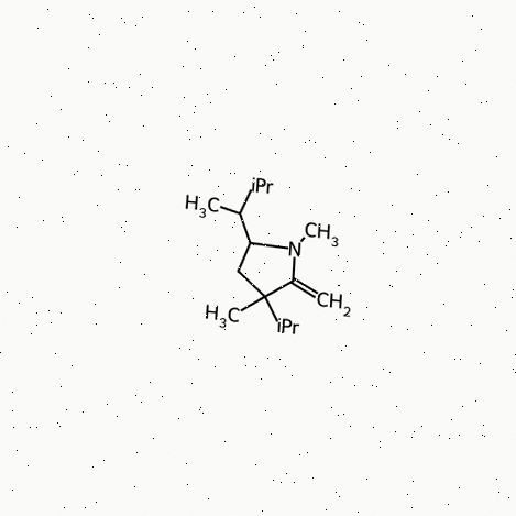 C=C1N(C)C(C(C)C(C)C)CC1(C)C(C)C